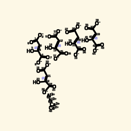 O=C([O-])/C=C(\O)C(=O)[O-].O=C([O-])/C=C(\O)C(=O)[O-].O=C([O-])/C=C(\O)C(=O)[O-].O=C([O-])/C=C(\O)C(=O)[O-].O=C([O-])/C=C(\O)C(=O)[O-].[Al+3].[Al+3].[Ca+2].[Ca+2]